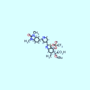 Cc1cc2nc(-c3ccnc(-c4ccc5c(c4)n(C)c(=O)n5C)c3)sc2c(OS(=O)(=O)C(F)(F)F)c1C(OC(C)(C)C)C(=O)O